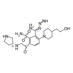 N=N/N=C(\N)c1c(N2CCC(CCO)CC2)ccc([S+]([O-])CN[C@@H]2CCNC2)c1S(N)(=O)=O